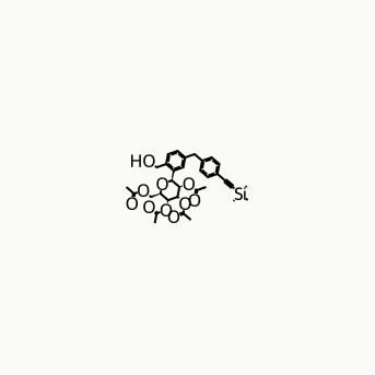 CC(=O)OC[C@H]1O[C@@H](c2cc(Cc3ccc(C#C[Si](C)(C)C)cc3)ccc2CO)[C@H](OC(C)=O)[C@@H](OC(C)=O)[C@@H]1OC(C)=O